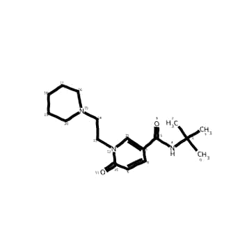 CC(C)(C)NC(=O)c1ccc(=O)n(CCN2CCCCC2)c1